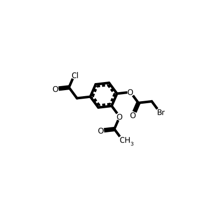 CC(=O)Oc1cc(CC(=O)Cl)ccc1OC(=O)CBr